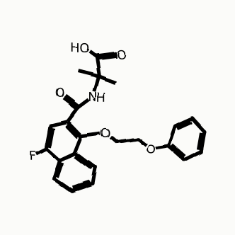 CC(C)(NC(=O)c1cc(F)c2ccccc2c1OCCOc1ccccc1)C(=O)O